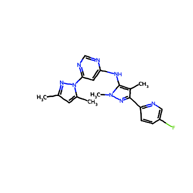 Cc1cc(C)n(-c2cc(Nc3c(C)c(-c4ccc(F)cn4)nn3C)ncn2)n1